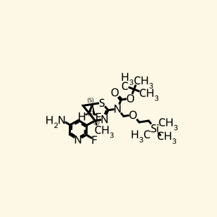 CC(C)(C)OC(=O)N(COCC[Si](C)(C)C)C1=N[C@](C)(c2cc(N)cnc2F)[C@@H]2C[C@]2(CF)S1